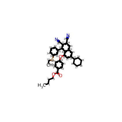 CCCCOC(=O)c1ccc(Oc2cc(C3CCCCC3)cc3cc(C#N)c(C#N)c(-c4cccc(SCC)c4)c23)cc1